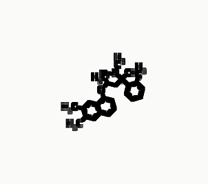 Cc1cc2cccc(OC(C)C[C@@](C)(c3ccccc3C)N(C)C(C)C)c2cc1C